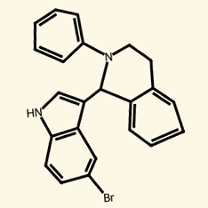 Brc1ccc2[nH]cc(C3c4ccccc4CCN3c3ccccc3)c2c1